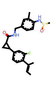 C/C=C(\C)c1ccc(C2CC2C(=O)NCc2ccc(N[S+](C)[O-])c(C)c2)cc1F